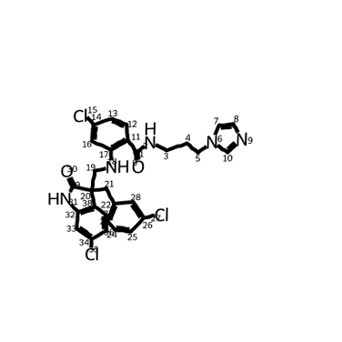 O=C(NCCCn1ccnc1)c1ccc(Cl)cc1NCC1(Cc2cccc(Cl)c2)C(=O)Nc2cc(Cl)ccc21